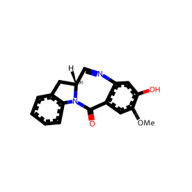 COc1cc2c(cc1O)N=C[C@H]1Cc3ccccc3N1C2=O